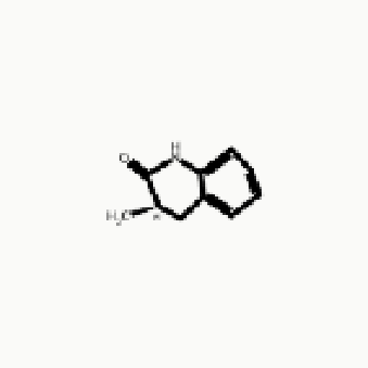 C[C@@H]1Cc2ccccc2NC1=O